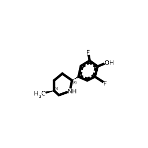 C[C@H]1CC[C@H](c2cc(F)c(O)c(F)c2)NC1